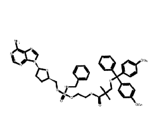 COc1ccc(C(OCC(C)(C)C(=O)SCCOP(=O)(NCc2ccccc2)OC[C@H]2CC[C@@H](n3cnc4c(N)ncnc43)O2)(c2ccccc2)c2ccc(OC)cc2)cc1